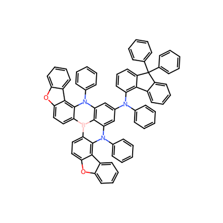 c1ccc(N(c2cc3c4c(c2)N(c2ccccc2)c2c(ccc5oc6ccccc6c25)B4c2ccc4oc5ccccc5c4c2N3c2ccccc2)c2cccc3c2-c2ccccc2C3(c2ccccc2)c2ccccc2)cc1